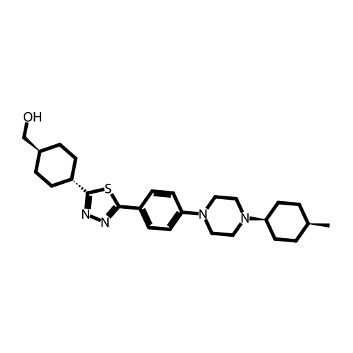 C[C@H]1CC[C@@H](N2CCN(c3ccc(-c4nnc([C@H]5CC[C@H](CO)CC5)s4)cc3)CC2)CC1